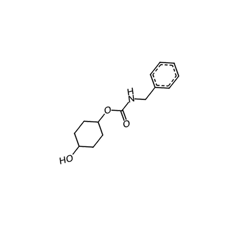 O=C(NCc1ccccc1)OC1CCC(O)CC1